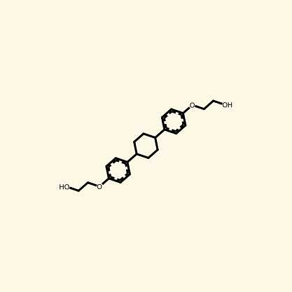 OCCOc1ccc(C2CCC(c3ccc(OCCO)cc3)CC2)cc1